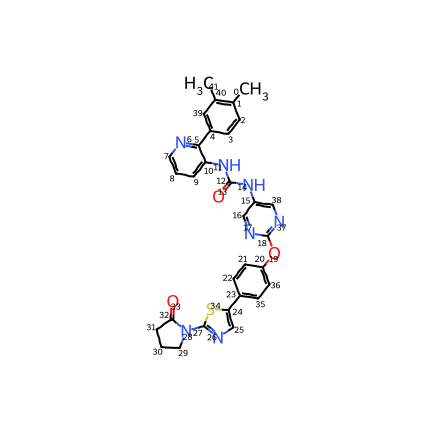 Cc1ccc(-c2ncccc2NC(=O)Nc2cnc(Oc3ccc(-c4cnc(N5CCCC5=O)s4)cc3)nc2)cc1C